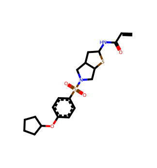 C=CC(=O)NC1CC2CN(S(=O)(=O)c3ccc(OC4CCCC4)cc3)CC2S1